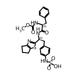 COC(=O)N[C@@H](Cc1ccccc1)C(=O)N[C@@H](Cc1ccc(NS(=O)(=O)O)cc1)c1nc2c(s1)CCC2